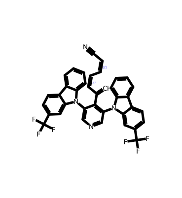 C=C(/C=C\C=C/C#N)c1c(-n2c3ccccc3c3ccc(C(F)(F)F)cc32)cncc1-n1c2ccccc2c2ccc(C(F)(F)F)cc21